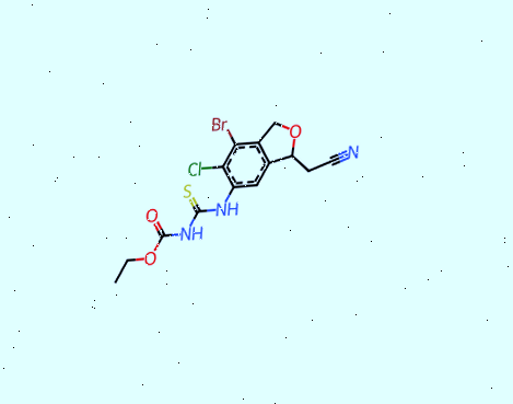 CCOC(=O)NC(=S)Nc1cc2c(c(Br)c1Cl)COC2CC#N